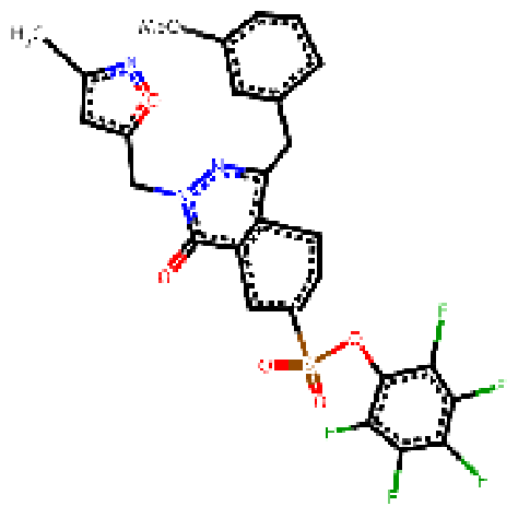 COc1cccc(Cc2nn(Cc3cc(C)no3)c(=O)c3cc(S(=O)(=O)Oc4c(F)c(F)c(F)c(F)c4F)ccc23)c1